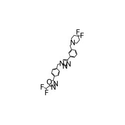 FC(F)c1nnc(-c2ccc(Cn3cc(-c4cccc(CN5CCC(F)(F)CC5)c4)nn3)cc2)o1